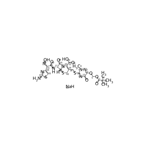 Cn1nc(OCOC(=O)C(C)(C)C)c(=O)nc1SCC1=C(C(=O)O)N2C(=O)[C@@H](NC(=O)/C(=N\O)c3csc(N)n3)[C@H]2SC1.[NaH]